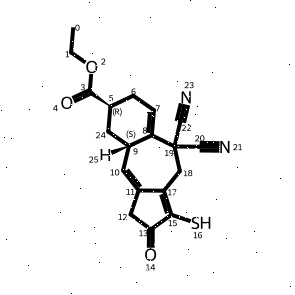 CCOC(=O)[C@H]1CC=C2[C@H](C=C3CC(=O)C(S)=C3CC2(C#N)C#N)C1